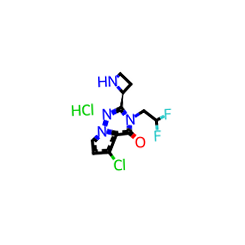 Cl.O=c1c2c(Cl)ccn2nc([C@@H]2CCN2)n1CC(F)F